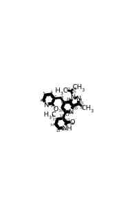 COc1ncccc1Cc1cc(-c2ccc[nH]c2=O)nc2c(C)nn(C(C)C)c12